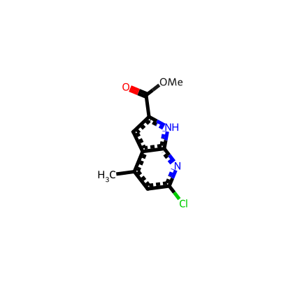 COC(=O)c1cc2c(C)cc(Cl)nc2[nH]1